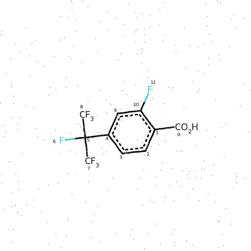 O=C(O)c1ccc(C(F)(C(F)(F)F)C(F)(F)F)cc1F